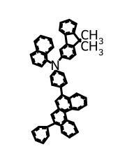 CC1(C)c2ccccc2-c2cc(N(c3ccc(-c4cc5cc(-c6ccccc6)c6ccccc6c5c5ccccc45)cc3)c3cccc4ccccc34)ccc21